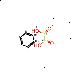 O=S(O)S(=O)O.c1ccccc1